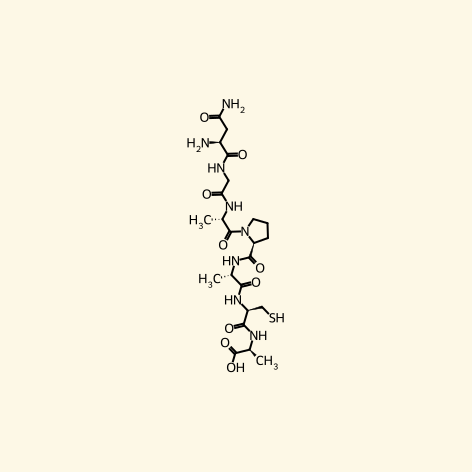 C[C@H](NC(=O)[C@H](CS)NC(=O)[C@H](C)NC(=O)[C@@H]1CCCN1C(=O)[C@H](C)NC(=O)CNC(=O)[C@@H](N)CC(N)=O)C(=O)O